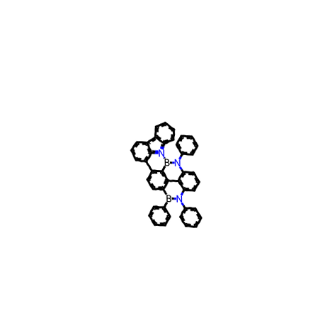 c1ccc(B2c3ccc4c5c3-c3c(cccc3N(c3ccccc3)B5n3c5ccccc5c5cccc-4c53)N2c2ccccc2)cc1